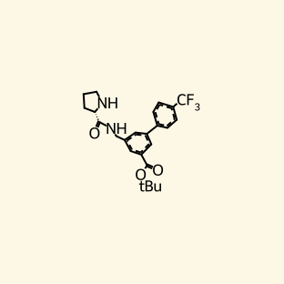 CC(C)(C)OC(=O)c1cc(CNC(=O)[C@@H]2CCCN2)cc(-c2ccc(C(F)(F)F)cc2)c1